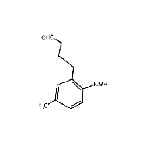 CNc1ccc(C(F)(F)F)cc1CCCC=O